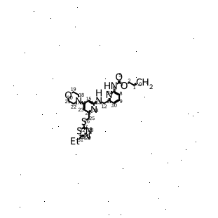 C=CCOC(=O)Nc1cccc(CNc2cc(N3CCOCC3)cc(CSc3nnc(CC)s3)n2)n1